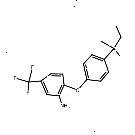 CCC(C)(C)c1ccc(Oc2ccc(C(F)(F)F)cc2N)cc1